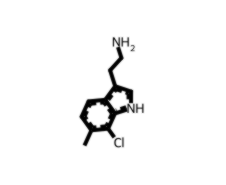 Cc1ccc2c(CCN)c[nH]c2c1Cl